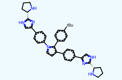 CC(C)(C)c1ccc(-c2c(-c3ccc(-c4c[nH]c([C@@H]5CCCN5)n4)cc3)ccn2-c2ccc(-c3c[nH]c([C@@H]4CCCN4)n3)cc2)cc1